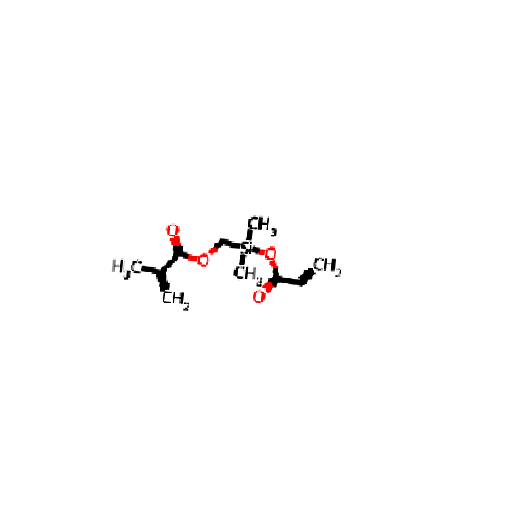 C=CC(=O)O[Si](C)(C)COC(=O)C(=C)C